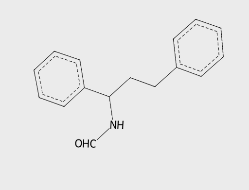 O=CNC(CCc1ccccc1)c1ccccc1